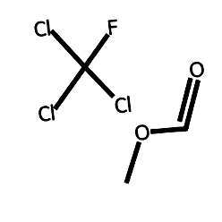 COC=O.FC(Cl)(Cl)Cl